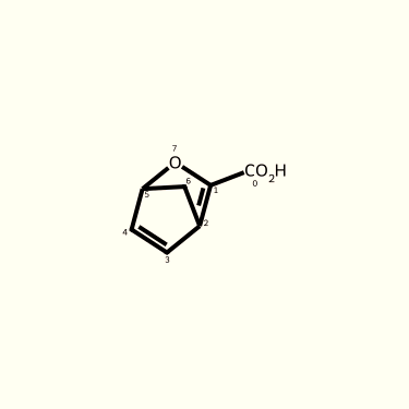 O=C(O)C1=C2C=CC(C2)O1